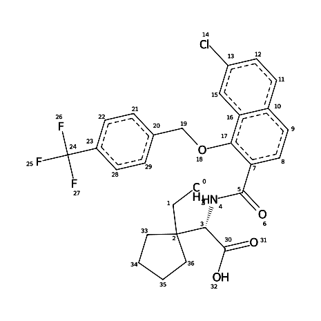 CCC1([C@H](NC(=O)c2ccc3ccc(Cl)cc3c2OCc2ccc(C(F)(F)F)cc2)C(=O)O)CCCC1